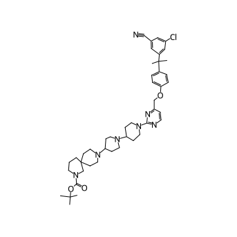 CC(C)(C)OC(=O)N1CCCC2(CCN(C3CCN(C4CCN(c5nccc(COc6ccc(C(C)(C)c7cc(Cl)cc(C#N)c7)cc6)n5)CC4)CC3)CC2)C1